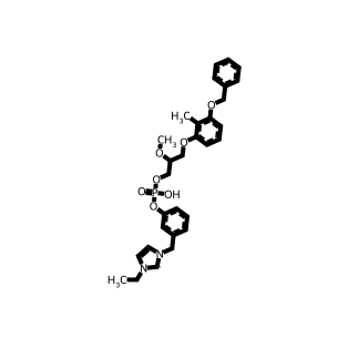 CCN1[CH]N(Cc2cccc(OP(=O)(O)OCC(COc3cccc(OCc4ccccc4)c3C)OC)c2)C=C1